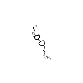 CCCCCC1CCC(c2ccc(OCCC)cc2)CC1